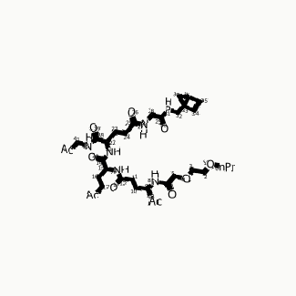 CCCOCCOCC(=O)NC(CCC(=O)NC(CCC(C)=O)C(=O)NC(CCC(=O)NCC(=O)PCC12CCC1C2)C(=O)NCC(C)=O)C(C)=O